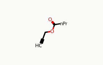 C#CCOC(=O)CC[CH2]